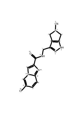 N#CN1Cc2[nH]nc(CNC(=O)c3cn4cc(Cl)ccc4n3)c2C1